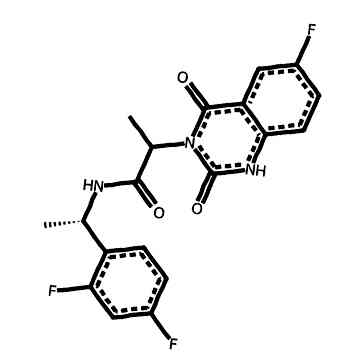 CC(C(=O)N[C@@H](C)c1ccc(F)cc1F)n1c(=O)[nH]c2ccc(F)cc2c1=O